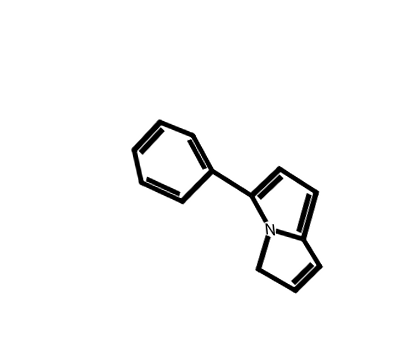 C1=Cc2ccc(-c3ccccc3)n2C1